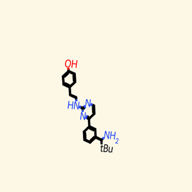 CC(C)(C)C(N)c1cccc(-c2ccnc(NCCc3ccc(O)cc3)n2)c1